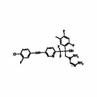 Cc1cc(C(O)(CN(N)/C=N\N)C(F)(F)c2ccc(C#Cc3ccc(Cl)c(F)c3)cn2)c(F)cc1F